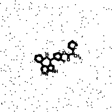 CN(C(=O)Oc1ccc(C2Nc3ccccc3-c3cnnc4[nH]cc2c34)cc1F)c1ccccc1